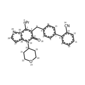 CCCc1c(Cc2ccc(-c3ccccc3C#N)cc2)c(=O)n(C2CCOCC2)c2ccnn12